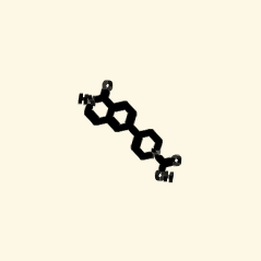 O=C(O)N1CC=C(c2ccc3c(=O)[nH]ccc3c2)CC1